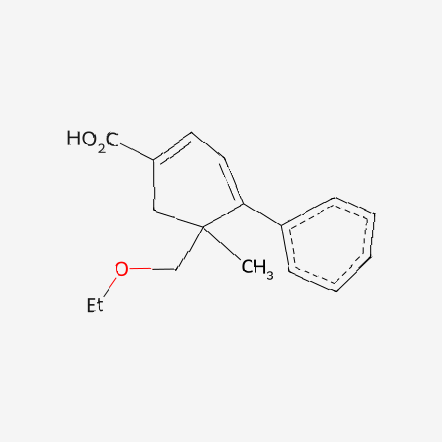 CCOCC1(C)CC(C(=O)O)=CC=C1c1ccccc1